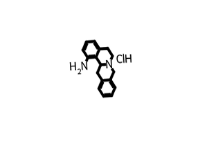 Cl.Nc1cccc2c1C1Cc3ccccc3CN1CC2